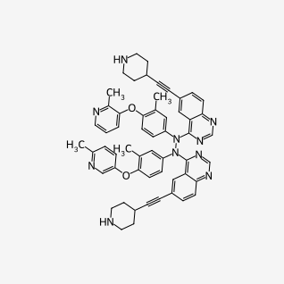 Cc1ccc(Oc2ccc(N(c3ncnc4ccc(C#CC5CCNCC5)cc34)N(c3ccc(Oc4cccnc4C)c(C)c3)c3ncnc4ccc(C#CC5CCNCC5)cc34)cc2C)cn1